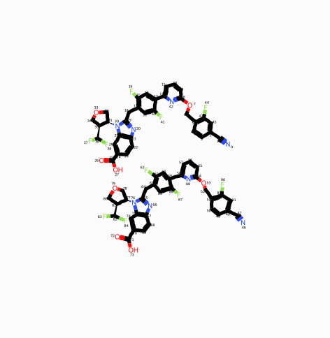 N#Cc1ccc(COc2cccc(-c3cc(F)c(Cc4nc5ccc(C(=O)O)cc5n4[C@H]4COC[C@@H]4C(F)F)cc3F)n2)c(F)c1.N#Cc1ccc(COc2cccc(-c3cc(F)c(Cc4nc5ccc(C(=O)O)cc5n4[C@H]4COC[C@@H]4C(F)F)cc3F)n2)c(F)c1